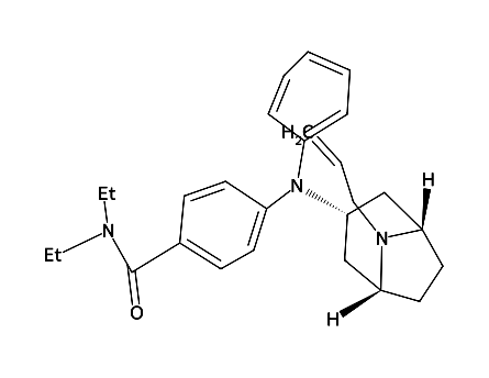 C=CCN1[C@@H]2CC[C@H]1C[C@@H](N(c1ccccc1)c1ccc(C(=O)N(CC)CC)cc1)C2